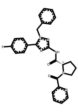 O=C(Nc1nc(-c2ccc(F)cc2)n(Cc2ccccc2)n1)[C@@H]1CCCN1C(=O)c1ccccn1